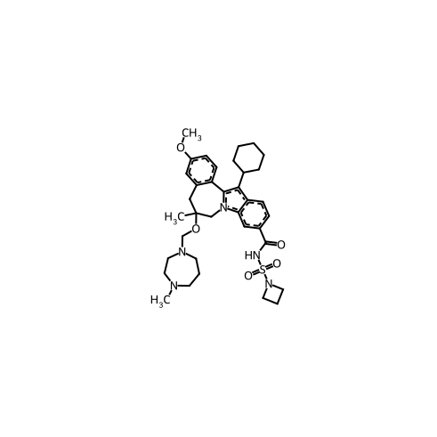 COc1ccc2c(c1)CC(C)(OCN1CCCN(C)CC1)Cn1c-2c(C2CCCCC2)c2ccc(C(=O)NS(=O)(=O)N3CCC3)cc21